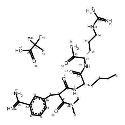 CCCC[C@H](NC(=O)C(Cc1cccc(C(=N)N)c1)C(=O)N(C)C)C(=O)N[C@@H](CCCNC(=N)N)C(N)=O.O=C(O)C(F)(F)F